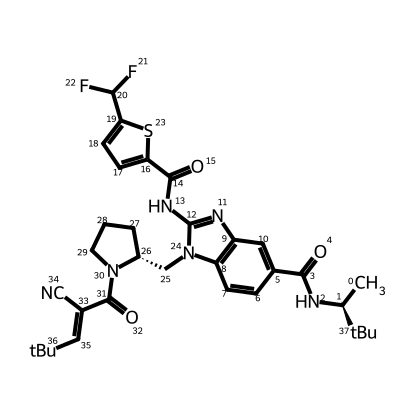 C[C@H](NC(=O)c1ccc2c(c1)nc(NC(=O)c1ccc(C(F)F)s1)n2C[C@H]1CCCN1C(=O)/C(C#N)=C/C(C)(C)C)C(C)(C)C